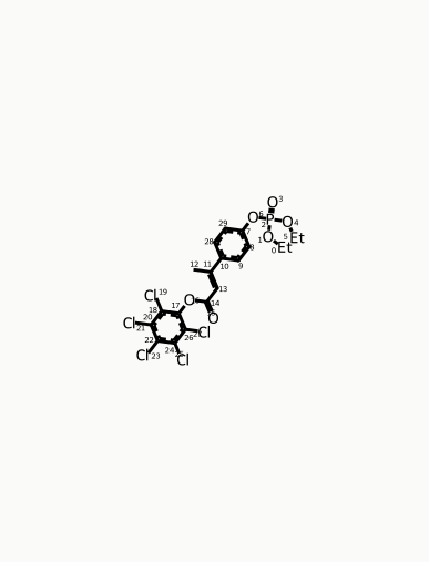 CCOP(=O)(OCC)Oc1ccc(C(C)=CC(=O)Oc2c(Cl)c(Cl)c(Cl)c(Cl)c2Cl)cc1